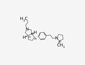 CCCN1C[C@H]2CC[C@@H](c3ccc(CCN4CCC[C@H]4C)cc3)[C@H]2C1